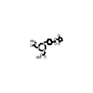 CC(C)(C)OC(=O)CN1CCN(CC(=O)OC(C)(C)C)CCN(Cc2ccc(C(=O)OC3C(=O)CCC3=O)cc2)CC1